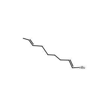 [CH2]CCCC=CCCCCC=CC